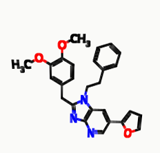 COc1ccc(Cc2nc3ncc(-c4ccco4)cc3n2CCc2ccccc2)cc1OC